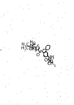 CC(C)(C)NS(=O)(=O)c1cc(C(=O)N2CC3(CCCCC3)c3cc(NS(C)(=O)=O)ccc32)cs1